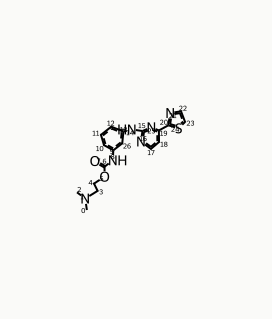 CN(C)CCOC(=O)Nc1cccc(Nc2nccc(-c3nccs3)n2)c1